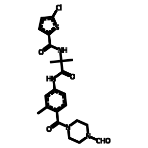 Cc1cc(NC(=O)C(C)(C)NC(=O)c2ccc(Cl)s2)ccc1C(=O)N1CCN(C=O)CC1